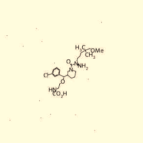 COCC(C)(C)CCCN(N)C(=O)N1CCCC([C@@H](OCCNC(=O)O)c2cccc(Cl)c2)C1